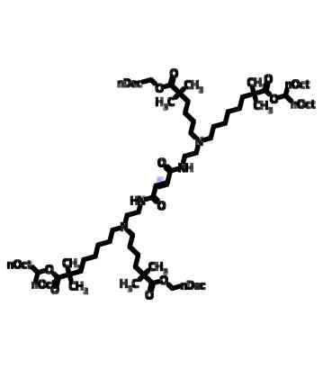 CCCCCCCCCCCOC(=O)C(C)(C)CCCCN(CCCCCCC(C)(C)C(=O)OC(CCCCCCCC)CCCCCCCC)CCNC(=O)/C=C/C(=O)NCCN(CCCCCCC(C)(C)C(=O)OC(CCCCCCCC)CCCCCCCC)CCCCC(C)(C)C(=O)OCCCCCCCCCCC